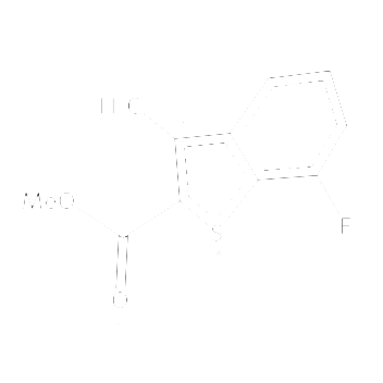 COC(=O)c1sc2c(F)cccc2c1C